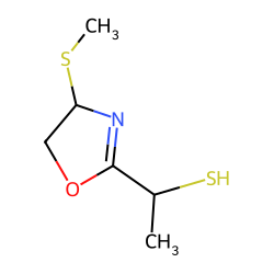 CSC1COC(C(C)S)=N1